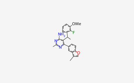 COc1cccc(C(C)c2c(N)nc(C)nc2-c2ccc3occ(C)c3c2)c1F